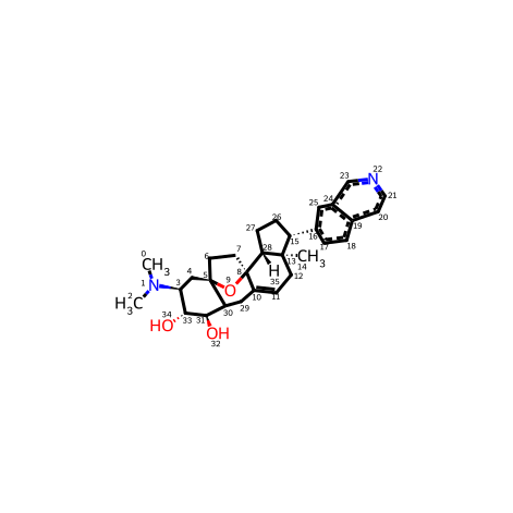 CN(C)[C@H]1C[C@@]23CC[C@@]4(O2)C(=CC[C@]2(C)[C@@H](c5ccc6ccncc6c5)CC[C@H]24)CC3[C@@H](O)[C@@H]1O